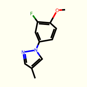 COc1ccc(-n2cc(C)cn2)cc1F